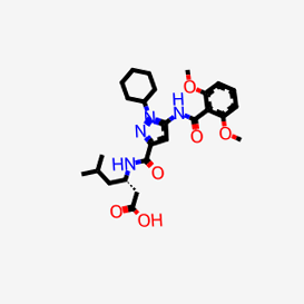 COc1cccc(OC)c1C(=O)Nc1cc(C(=O)N[C@H](CC(=O)O)CC(C)C)nn1C1CCCCC1